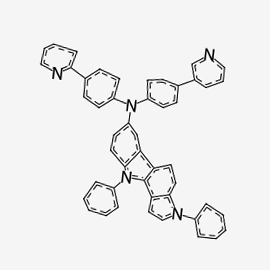 c1ccc(-n2ccc3c2ccc2c4cc(N(c5ccc(-c6cccnc6)cc5)c5ccc(-c6ccccn6)cc5)ccc4n(-c4ccccc4)c23)cc1